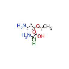 CCOC(=O)CCN.Cl.NCCO